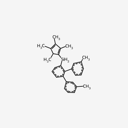 CC1=C(C)C(C)C([SiH2]c2cccc(-c3cccc(C)c3)c2-c2cccc(C)c2)=C1C